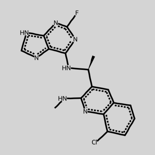 CNc1nc2c(Cl)cccc2cc1[C@H](C)Nc1nc(F)nc2[nH]cnc12